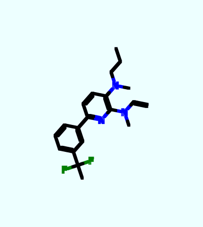 C=CN(C)c1nc(-c2cccc(C(C)(F)F)c2)ccc1N(C)CCC